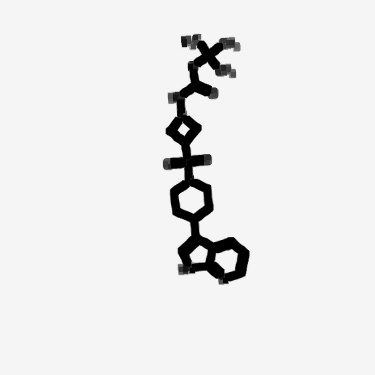 CC(C)(C)OC(=O)NN1CC(S(=O)(=O)N2CCC(c3c[nH]c4ncccc34)CC2)C1